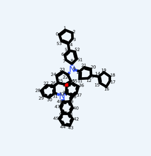 C1=CCCC(C2=CCC(N(C3=CCC(C4=CCCCC4)C=C3)C3C=CC(c4ccccc4-n4c5ccccc5c5cc6ccccc6cc54)CC3)C=C2)=C1